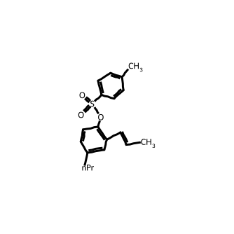 CC=Cc1cc(CCC)ccc1OS(=O)(=O)c1ccc(C)cc1